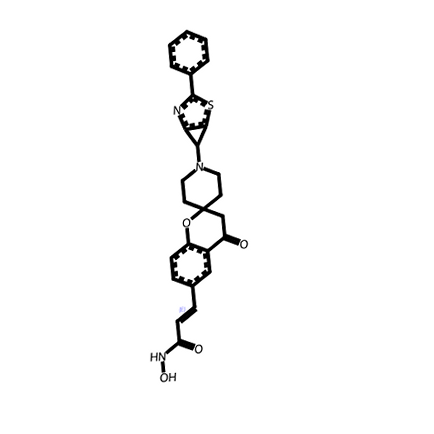 O=C(/C=C/c1ccc2c(c1)C(=O)CC1(CCN(C3c4nc(-c5ccccc5)sc43)CC1)O2)NO